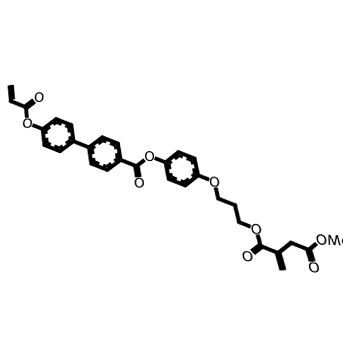 C=CC(=O)Oc1ccc(-c2ccc(C(=O)Oc3ccc(OCCCOC(=O)C(=C)CC(=O)OC)cc3)cc2)cc1